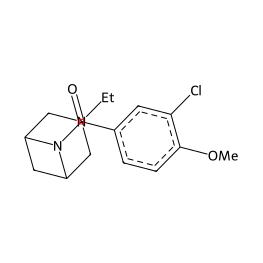 CCN1CC2CC(C1)N2C(=O)c1ccc(OC)c(Cl)c1